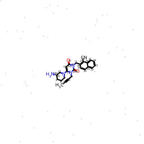 CC#CCn1c(N2CCC[C@@H](N)C2)cc(=O)n(Cc2ccc3ccccc3c2C#N)c1=O